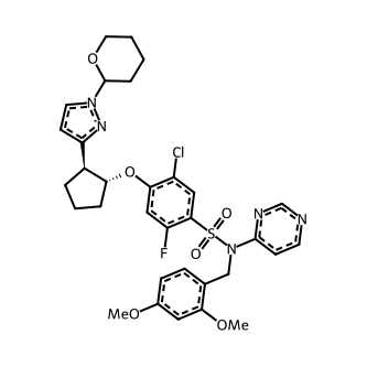 COc1ccc(CN(c2ccncn2)S(=O)(=O)c2cc(Cl)c(O[C@@H]3CCC[C@H]3c3ccn(C4CCCCO4)n3)cc2F)c(OC)c1